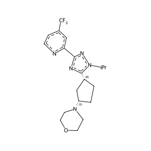 CC(C)n1nc(-c2cc(C(F)(F)F)ccn2)nc1[C@@H]1CC[C@H](N2CCOCC2)C1